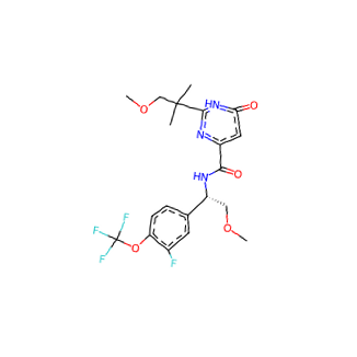 COC[C@@H](NC(=O)c1cc(=O)[nH]c(C(C)(C)COC)n1)c1ccc(OC(F)(F)F)c(F)c1